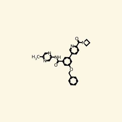 Cc1cnc(NC(=O)c2cc(OCc3ccccc3)cc(-c3ccc(C(=O)N4CCC4)nc3)c2)cn1